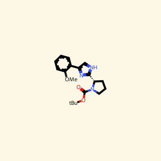 COc1ccccc1-c1c[nH]c([C@@H]2CCCN2C(=O)OC(C)(C)C)n1